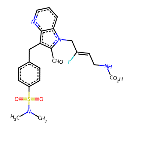 CN(C)S(=O)(=O)c1ccc(Cc2c(C=O)n(CC(F)=CCNC(=O)O)c3cccnc23)cc1